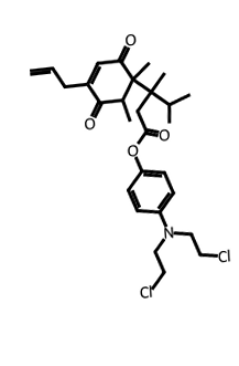 C=CCC1=CC(=O)C(C)(C(C)(CC(=O)Oc2ccc(N(CCCl)CCCl)cc2)C(C)C)C(C)C1=O